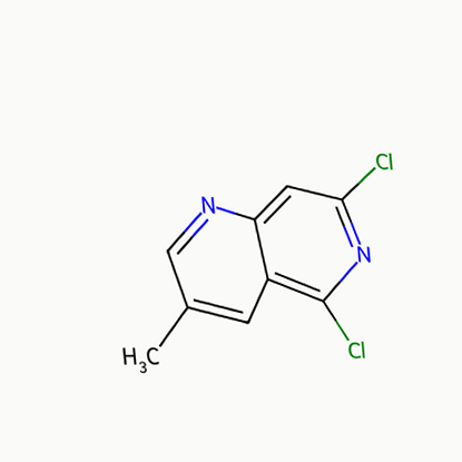 Cc1cnc2cc(Cl)nc(Cl)c2c1